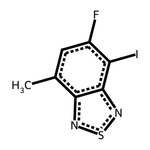 Cc1cc(F)c(I)c2nsnc12